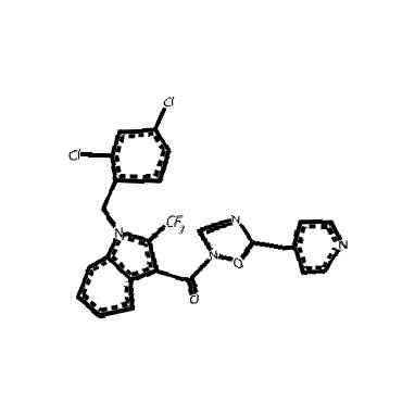 O=C(c1c(C(F)(F)F)n(Cc2ccc(Cl)cc2Cl)c2ccccc12)N1C=NC(c2ccncc2)O1